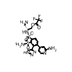 NC[C@H](COC(=O)C(F)(F)F)NS(=O)(=O)c1ccc(-c2ccnc(N)c2)c(-c2nn[nH]n2)c1S(N)(=O)=O